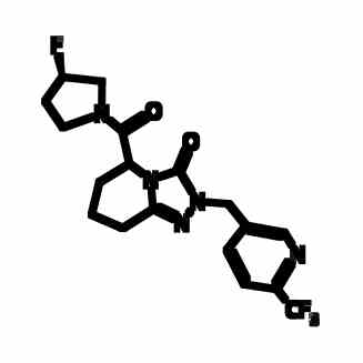 O=C(C1CCCc2nn(Cc3ccc(C(F)(F)F)nc3)c(=O)n21)N1CC[C@@H](F)C1